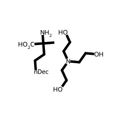 CCCCCCCCCCCCC(C)(N)C(=O)O.OCCN(CCO)CCO